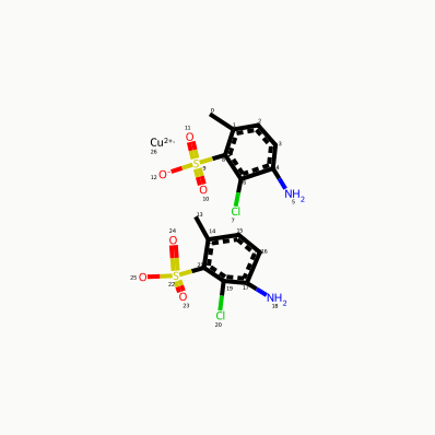 Cc1ccc(N)c(Cl)c1S(=O)(=O)[O-].Cc1ccc(N)c(Cl)c1S(=O)(=O)[O-].[Cu+2]